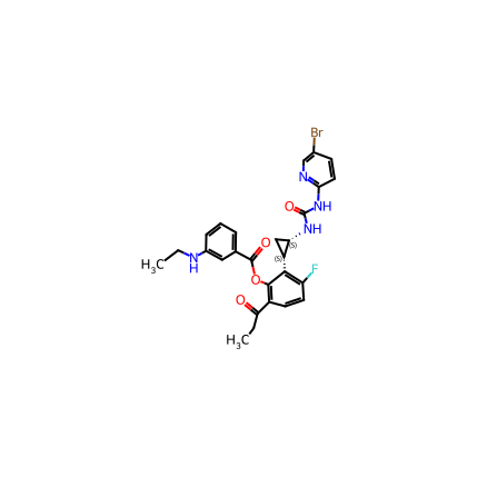 CCNc1cccc(C(=O)Oc2c(C(=O)CC)ccc(F)c2[C@@H]2C[C@@H]2NC(=O)Nc2ccc(Br)cn2)c1